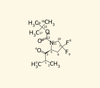 CC(C)C(=O)[C@@H]1CC(F)(F)CN1C(=O)OC(C)(C)C